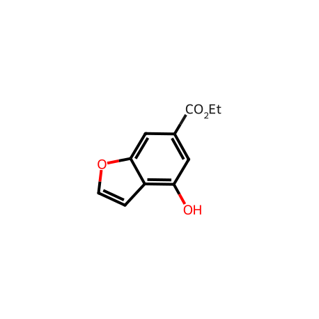 CCOC(=O)c1cc(O)c2ccoc2c1